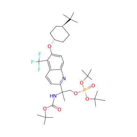 CC(C)(C)OC(=O)NC(C)(COP(=O)(OC(C)(C)C)OC(C)(C)C)c1ccc2c(C(F)(F)F)c(O[C@H]3CC[C@H](C(C)(C)C)CC3)ccc2n1